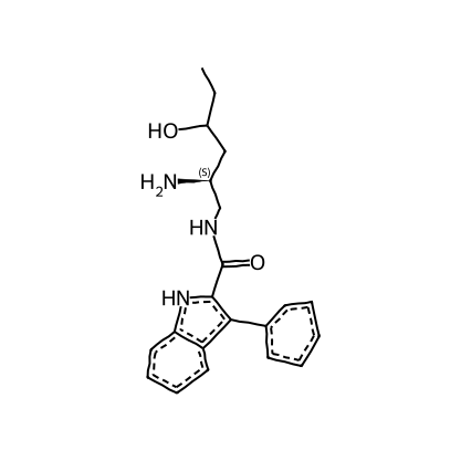 CCC(O)C[C@H](N)CNC(=O)c1[nH]c2ccccc2c1-c1ccccc1